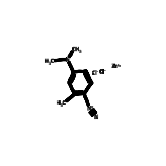 Cc1cc(N(C)C)ccc1[N+]#N.[Cl-].[Cl-].[Zn+]